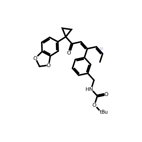 C/C=C\C(=CC(=O)C1(c2ccc3c(c2)OCO3)CC1)c1cccc(CNC(=O)OC(C)(C)C)c1